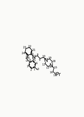 Cc1ccc2c(c1)N(CCCN1CCN(CCC(C)C)CC1)C1=CCCC=C1S2